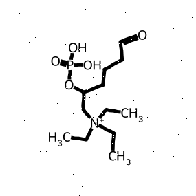 CC[N+](CC)(CC)CC(CCCC=O)OP(=O)(O)O